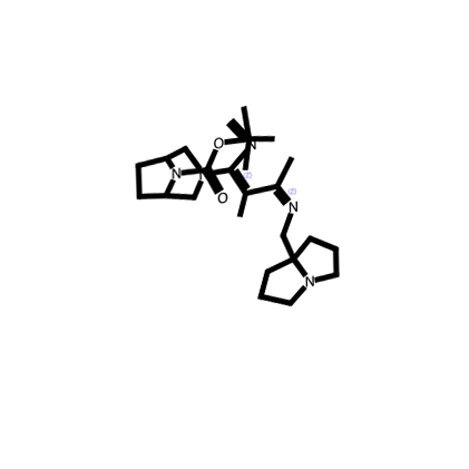 C=N/C(=C(C)\C(C)=N/CC12CCCN1CCC2)N1CC2CCC(C1)N2C(=O)OC(C)(C)C